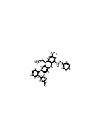 CCCc1nc(C)nc(NSc2ccccc2)c1Cc1ccc(-c2ccccc2-c2noc(=O)[nH]2)cc1